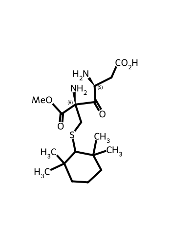 COC(=O)[C@@](N)(CSC1C(C)(C)CCCC1(C)C)C(=O)[C@@H](N)CC(=O)O